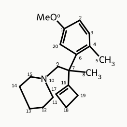 COc1ccc(C)c(C(C)(CN2CCCCC2)C2=CCC2)c1